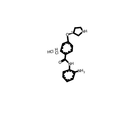 Cl.Cl.Nc1ccccc1NC(=O)c1ccc(O[C@H]2CCNC2)cc1